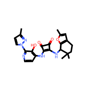 Cc1ccn(-c2nccc(Nc3c(NC4c5oc(C)cc5CCC4(C)C)c(=O)c3=O)c2O)n1